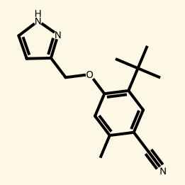 Cc1cc(OCc2cc[nH]n2)c(C(C)(C)C)cc1C#N